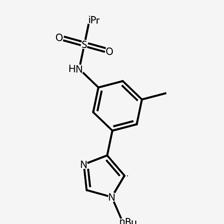 CCCCn1[c]c(-c2cc(C)cc(NS(=O)(=O)C(C)C)c2)nc1